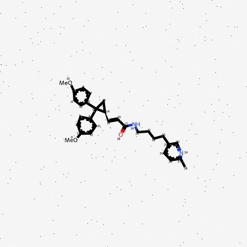 COc1ccc(C2(c3ccc(OC)cc3)C[C@H]2/C=C/C(=O)NCCCCc2ccc(C)nc2)cc1